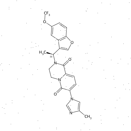 Cc1cn(-c2ccc3n(c2=O)CCN([C@@H](C)c2coc4ccc(OC(F)(F)F)cc24)C3=O)cn1